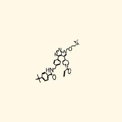 C=CC(=O)N1CC=C(c2cn(COCC[Si](C)(C)C)c3ncnc(-c4ccc(CNC(=O)c5ccc(C(C)(C)C)cc5)cc4)c23)CC1